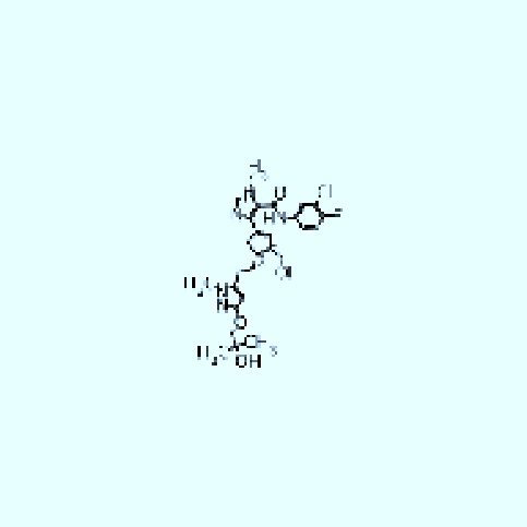 Cn1cnc(C2=C[C@@H](CO)[C@@H](CCc3cc(OCC(C)(C)O)nn3C)C2)c1C(=O)Nc1ccc(F)c(Cl)c1